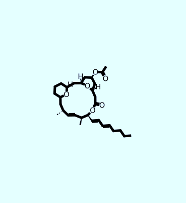 CCCCC=C/C=C/[C@@H]1OC(=O)C[C@@H]2C[C@H](OC(C)=O)C[C@H](C[C@@H]3CCCC(C[C@@H](C)/C=C/[C@@H]1C)O3)O2